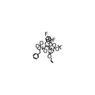 C=CCO[C@@H]1C[C@H]([C@@H](O[Si](C)(C)C(C)(C)C)[C@H](Cc2cc(F)cc(F)c2)C(=O)N2C(=O)OCC2Cc2ccccc2)N(C(=O)OC(C)(C)C)C1